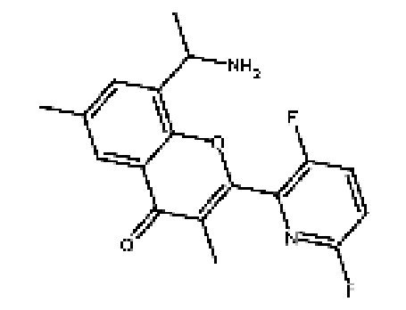 Cc1cc(C(C)N)c2oc(-c3nc(F)ccc3F)c(C)c(=O)c2c1